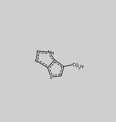 O=C(O)c1csc2nc[nH]c12